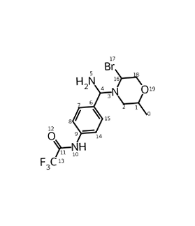 CC1CN(C(N)c2ccc(NC(=O)C(F)(F)F)cc2)C(Br)CO1